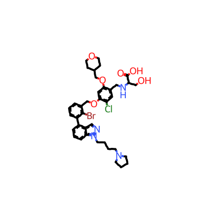 O=C(O)C(CO)NCc1cc(Cl)c(OCc2cccc(-c3cccc4c3cnn4CCCCN3CCCC3)c2Br)cc1OCC1CCOCC1